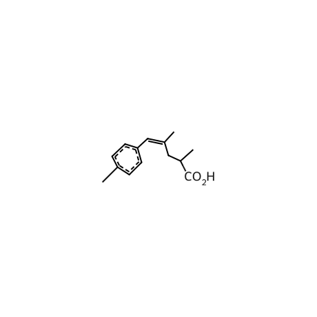 CC(=Cc1ccc(C)cc1)CC(C)C(=O)O